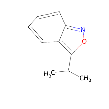 CC(C)c1onc2ccccc12